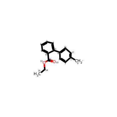 [CH2]c1ccc(-c2ccccc2C(=O)OCC)cc1